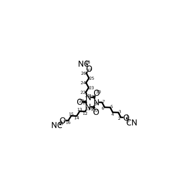 N#COCCCCCCn1c(=O)n(CCCCCOC#N)c(=O)n(CCCCCOC#N)c1=O